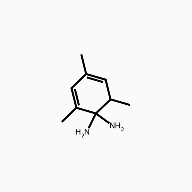 CC1=CC(C)C(N)(N)C(C)=C1